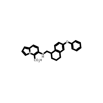 O=C(O)c1c(NCC2CCCc3cc(Oc4ccccc4)ccc32)ccc2cccn12